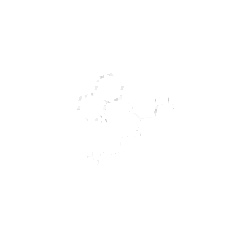 C=CC(=O)OCCC.c1ccc2ncccc2c1